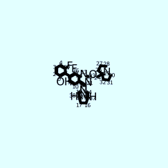 Oc1cccc(F)c1-c1ccc2c(N3C[C@H]4CC[C@@H](C3)N4)nc(OCC34CCCN3CCC4)nc2c1F